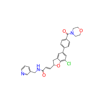 O=C(C=CC1Cc2cc(-c3ccc(C(=O)N4CCOCC4)cc3)cc(Cl)c2O1)NCc1cccnc1